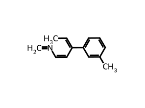 C=N/C=C\C(=C/C)c1cccc(C)c1